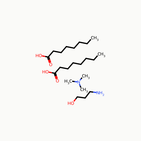 CCCCCCCC(=O)O.CCCCCCCC(=O)O.CN(C)C.NCCCO